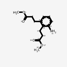 COC(=O)CCc1cccc(N)c1CCC(=O)OC